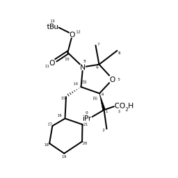 CC(C)C(C)(C(=O)O)[C@@H]1OC(C)(C)N(C(=O)OC(C)(C)C)[C@H]1CC1CCCCC1